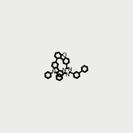 c1ccc(-c2cccc(-c3nc(-c4ccccc4)nc(-c4ccc5oc6cccc(-c7ccc8c(c7)c7ccccc7n8-c7ccccc7)c6c5c4)n3)c2)cc1